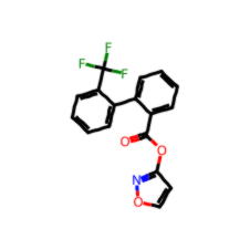 O=C(Oc1ccon1)c1ccccc1-c1ccccc1C(F)(F)F